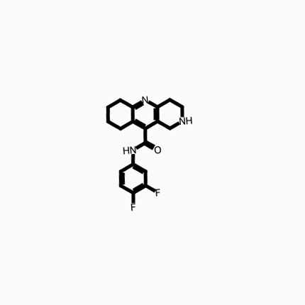 O=C(Nc1ccc(F)c(F)c1)c1c2c(nc3c1CNCC3)CCCC2